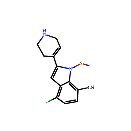 N#Cc1ccc(F)c2cc(C3=CCNCC3)n(SI)c12